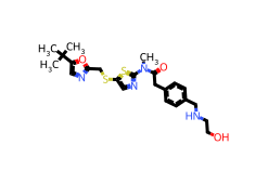 CN(C(=O)Cc1ccc(CNCCO)cc1)c1ncc(SCc2ncc(C(C)(C)C)o2)s1